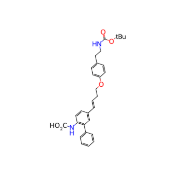 CC(C)(C)OC(=O)NCCc1ccc(OCCC=Cc2ccc(NC(=O)O)c(-c3ccccc3)c2)cc1